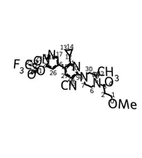 COCCC(=O)N1CCN(c2nc(C3CC3)c(-c3cnnc(OS(=O)(=O)C(F)(F)F)c3)cc2C#N)C[C@H]1C